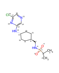 CC(C)S(=O)(=O)NC[C@H]1CC[C@H](Nc2cncc(Cl)n2)CC1